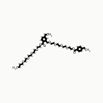 C=Cc1ccc(C(=O)OCCOCCOCCOCCOCc2cc(C=C)ccc2C(=O)OCCOCCOCCOCCOCCCC)cc1